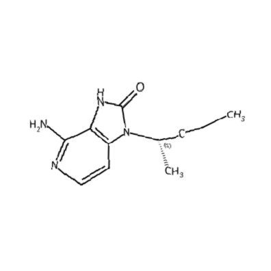 CCC[C@H](C)n1c(=O)[nH]c2c(N)nccc21